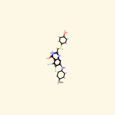 COC1CCC(Nc2cc3nc(CSC4CCC(O)CC4)[nH]c(=O)c3c(F)c2F)CC1